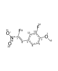 COc1ccc(C=C(F)[N+](=O)[O-])cc1F